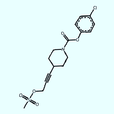 CS(=O)(=O)OCC#CC1CCN(C(=O)Oc2ccc(Cl)cc2)CC1